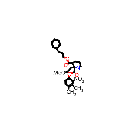 COCCC1(C(=O)Oc2ccc(C)c(C)c2[N+](=O)[O-])N=CC=CC1C(=O)OC=CCc1ccccc1